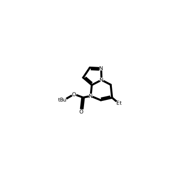 CCC1=CN(C(=O)OC(C)(C)C)c2ccnn2C1